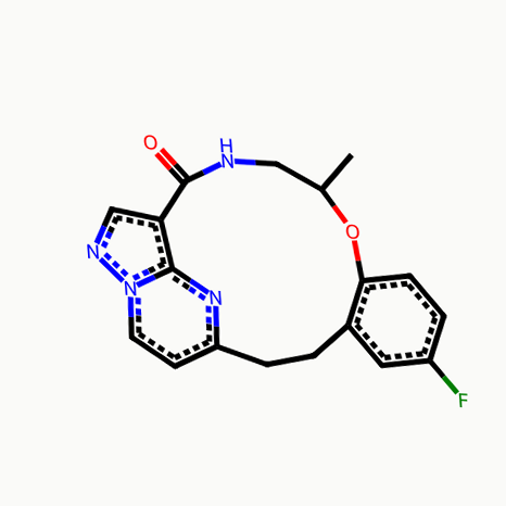 CC1CNC(=O)c2cnn3ccc(nc23)CCc2cc(F)ccc2O1